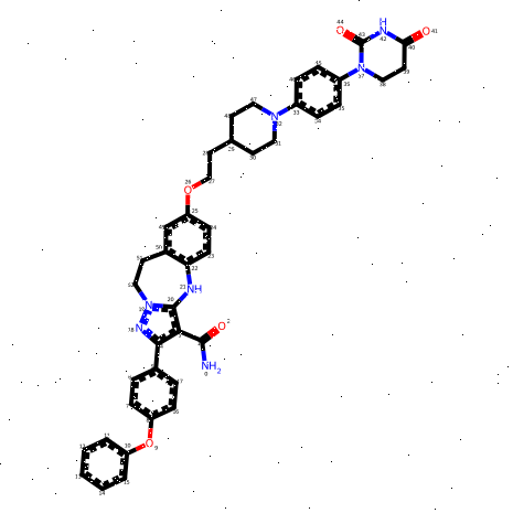 NC(=O)c1c(-c2ccc(Oc3ccccc3)cc2)nn2c1Nc1ccc(OCCC3CCN(c4ccc(N5CCC(=O)NC5=O)cc4)CC3)cc1CC2